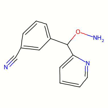 N#Cc1cccc(C(ON)c2ccccn2)c1